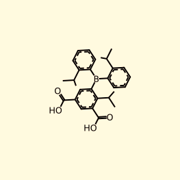 CC(C)c1ccccc1B(c1ccccc1C(C)C)c1cc(C(=O)O)cc(C(=O)O)c1C(C)C